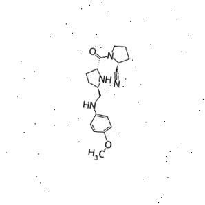 COc1ccc(NC[C@H]2CC[C@H](C(=O)N3CCC[C@H]3C#N)N2)cc1